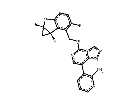 Cc1ncccc1-c1cnc(NCc2c(F)ccc3c2[C@@H]2C[C@@H]2O3)n2cnnc12